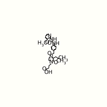 COc1cccnc1NC(=O)Nc1ccc(CC(=O)N2CCN(CCCC(=O)O)C(=O)C2CC(C)C)cc1